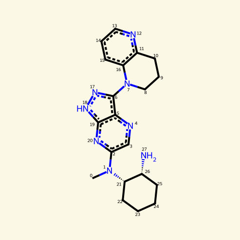 CN(c1cnc2c(N3CCCc4ncccc43)n[nH]c2n1)[C@H]1CCCC[C@H]1N